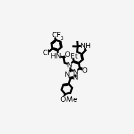 CCc1c(/C=C2/CNC(C)(C)C2)c(=O)n2nc(C3=CCC(OC)CC3)nc2n1CC(=O)Nc1ccc(C(F)(F)F)cc1Cl